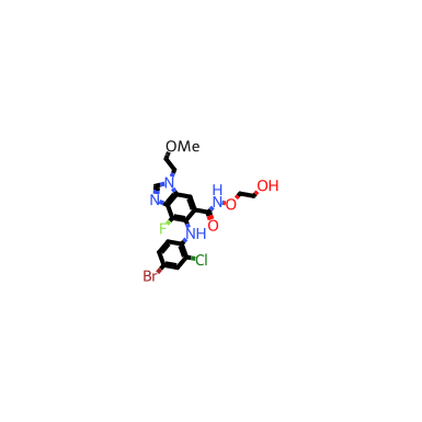 COCCn1cnc2c(F)c(Nc3ccc(Br)cc3Cl)c(C(=O)NOCCO)cc21